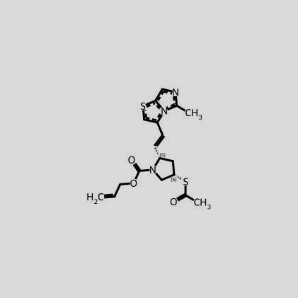 C=CCOC(=O)N1C[C@@H](SC(C)=O)C[C@H]1C=Cc1csc2cnc(C)n12